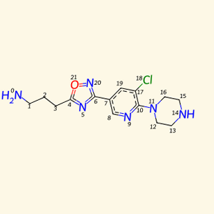 NCCCc1nc(-c2cnc(N3CCNCC3)c(Cl)c2)no1